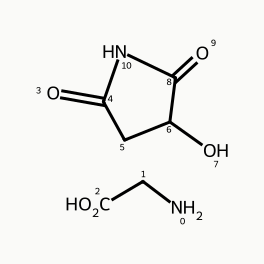 NCC(=O)O.O=C1CC(O)C(=O)N1